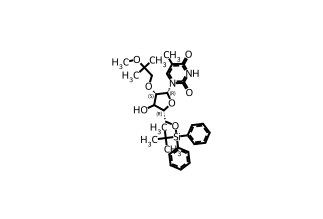 COC(C)(C)CO[C@H]1C(O)[C@@H](CO[Si](c2ccccc2)(c2ccccc2)C(C)(C)C)O[C@H]1n1cc(C)c(=O)[nH]c1=O